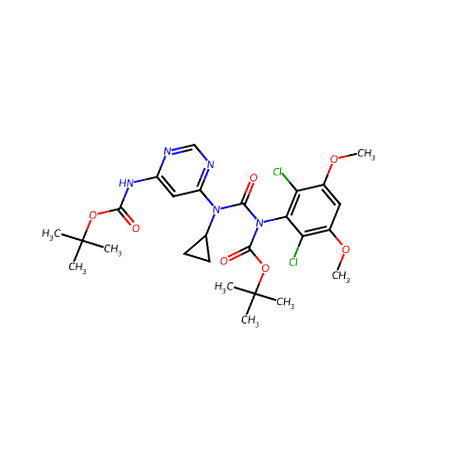 COc1cc(OC)c(Cl)c(N(C(=O)OC(C)(C)C)C(=O)N(c2cc(NC(=O)OC(C)(C)C)ncn2)C2CC2)c1Cl